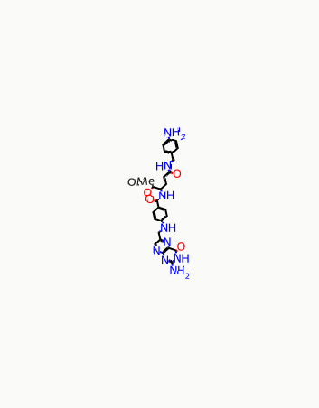 COC(=O)C(CCC(=O)NCc1ccc(N)cc1)NC(=O)c1ccc(NCc2cnc3nc(N)[nH]c(=O)c3n2)cc1